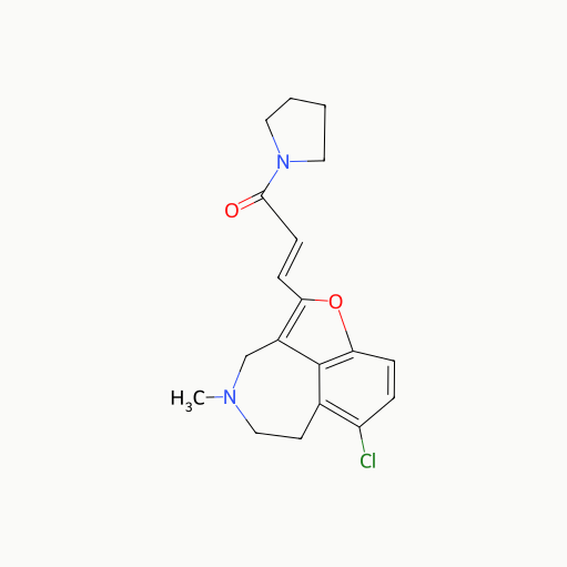 CN1CCc2c(Cl)ccc3oc(C=CC(=O)N4CCCC4)c(c23)C1